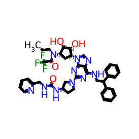 CCCN(C(=O)C(F)(F)F)[C@H]1C[C@@H](n2cnc3c(NCC(c4ccccc4)c4ccccc4)nc(N4CC[C@@H](NC(=O)NCc5ccccn5)C4)nc32)[C@H](O)[C@@H]1O